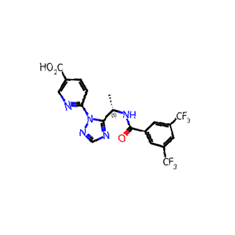 C[C@H](NC(=O)c1cc(C(F)(F)F)cc(C(F)(F)F)c1)c1ncnn1-c1ccc(C(=O)O)cn1